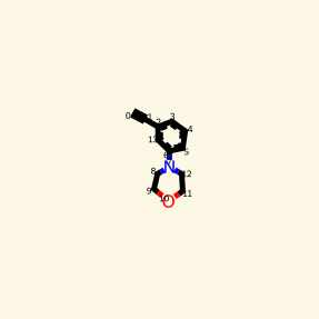 C#Cc1cccc(N2CCOCC2)c1